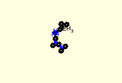 C[Si](c1ccccc1)(c1ccccc1)c1ccc(-c2ncnc(-c3ccc(-n4c5ccccc5c5cc(-n6c7ccccc7c7ccccc76)ccc54)cc3)n2)cc1